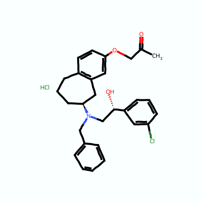 CC(=O)COc1ccc2c(c1)C[C@@H](N(Cc1ccccc1)C[C@H](O)c1cccc(Cl)c1)CCC2.Cl